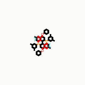 Cc1cc(C)cc(P(c2cc(C)cc(C)c2)c2cc(Oc3ccccc3)c3c(c2-c2c(P(c4cc(C)cc(C)c4)c4cc(C)cc(C)c4)cc(Oc4ccccc4)c4c2OC(F)(F)O4)OC(F)(F)O3)c1